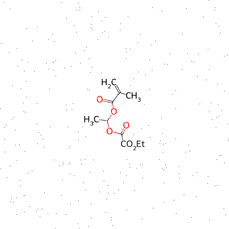 C=C(C)C(=O)OC(C)OC(=O)C(=O)OCC